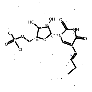 CC/C=C/c1cn([C@@H]2O[C@H](COP(=O)(Cl)Cl)C(O)[C@@H]2O)c(=O)[nH]c1=O